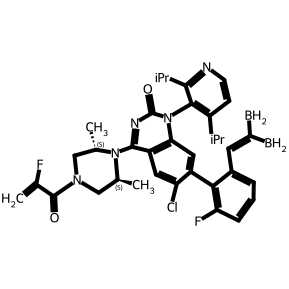 BC(B)=Cc1cccc(F)c1-c1cc2c(cc1Cl)c(N1[C@@H](C)CN(C(=O)C(=C)F)C[C@@H]1C)nc(=O)n2-c1c(C(C)C)ccnc1C(C)C